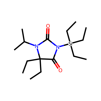 CCC1(CC)C(=O)N([Si](CC)(CC)CC)C(=O)N1C(C)C